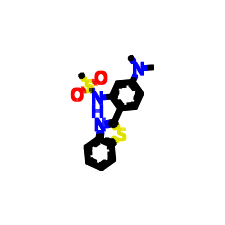 CN(C)c1ccc(-c2nc3ccccc3s2)c(NS(C)(=O)=O)c1